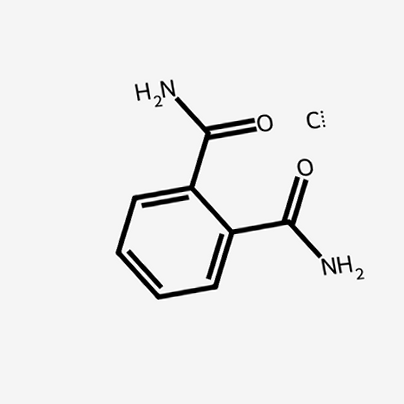 NC(=O)c1ccccc1C(N)=O.[C]